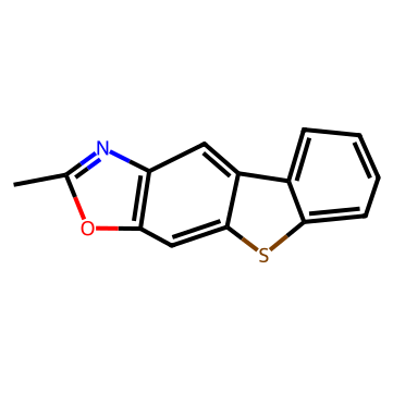 Cc1nc2cc3c(cc2o1)sc1ccccc13